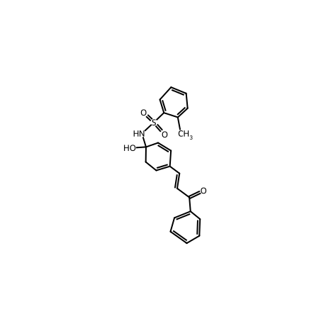 Cc1ccccc1S(=O)(=O)NC1(O)C=CC(C=CC(=O)c2ccccc2)=CC1